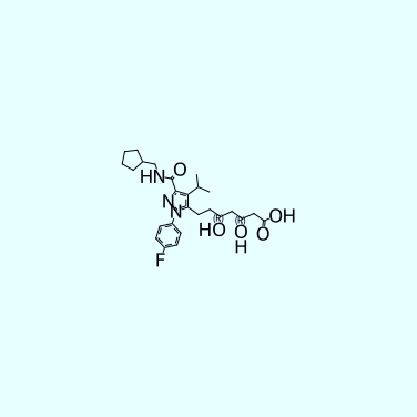 CC(C)c1c(C(=O)NCC2CCCC2)nn(-c2ccc(F)cc2)c1CC[C@@H](O)C[C@@H](O)CC(=O)O